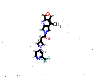 Cc1c2c(nc3c1CN(C(=O)CC1CN(c4ccnc(C(F)F)c4)C1)C3)COC2